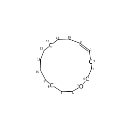 C1=CCCCOCCCCCCCCCC1